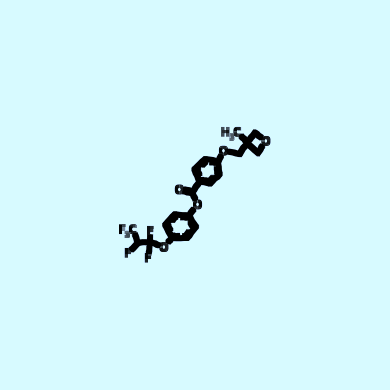 CC1(COc2ccc(C(=O)Oc3ccc(OC(F)(F)C(F)C(F)(F)F)cc3)cc2)COC1